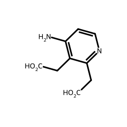 Nc1ccnc(CC(=O)O)c1CC(=O)O